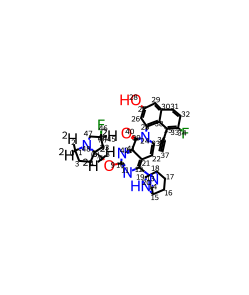 [2H]C1([2H])CC[C@@]2(C([2H])([2H])Oc3nc(N4CC5CCC4CN5)c4ccn(-c5cc(O)cc6ccc(F)c(C#C)c56)c(=O)c4n3)C[C@@]([2H])(F)CN12